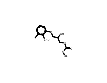 Cc1cccc(OCC(O)CNC(=O)OC(C)(C)C)c1C=O